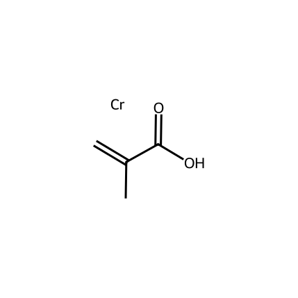 C=C(C)C(=O)O.[Cr]